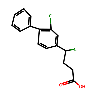 O=C(O)CCC(Cl)c1ccc(-c2ccccc2)c(Cl)c1